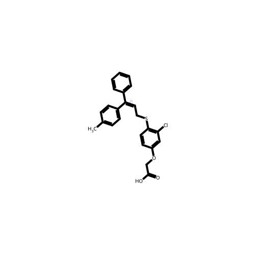 Cc1ccc(/C(=C\CSc2ccc(OCC(=O)O)cc2Cl)c2ccccc2)cc1